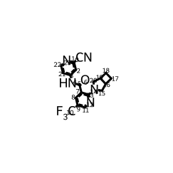 N#Cc1cc(NC(=O)c2cc(C(F)(F)F)cnc2N2CC3CCC3C2)ccn1